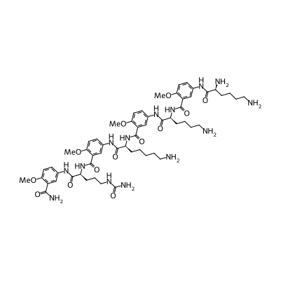 COc1ccc(NC(=O)[C@H](CCCNC(N)=O)NC(=O)c2cc(NC(=O)[C@H](CCCCCN)NC(=O)c3cc(NC(=O)[C@H](CCCCN)NC(=O)c4cc(NC(=O)[C@@H](N)CCCCN)ccc4OC)ccc3OC)ccc2OC)cc1C(N)=O